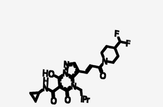 CC(C)Cn1c(=O)c(C(=O)NC2CC2)c(O)n2ncc(C=CC(=O)N3CCC(C(F)F)CC3)c12